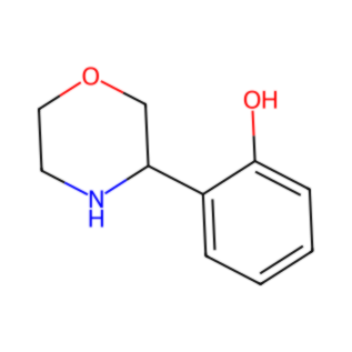 Oc1ccccc1C1COCCN1